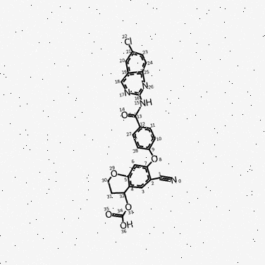 N#Cc1cc2c(cc1Oc1ccc(C(=O)Nc3ncc4cc(Cl)ccc4n3)cc1)OCCC2OC(=O)O